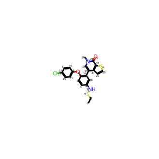 CCSNc1ccc(Oc2ccc(Cl)cc2)c(-c2cn(C)c(=O)c3sccc23)c1